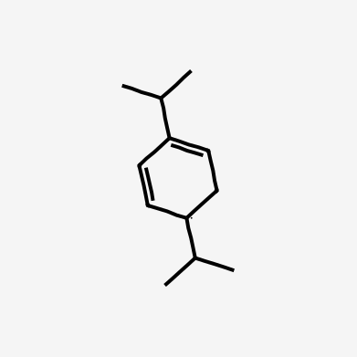 CC(C)[C]1C=CC(C(C)C)=CC1